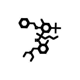 CCCCC(C)(Pc1c(C)cccc1CN(CC)CC)c1cc(C(C)(C)C)cc(C)c1OCc1ccccc1